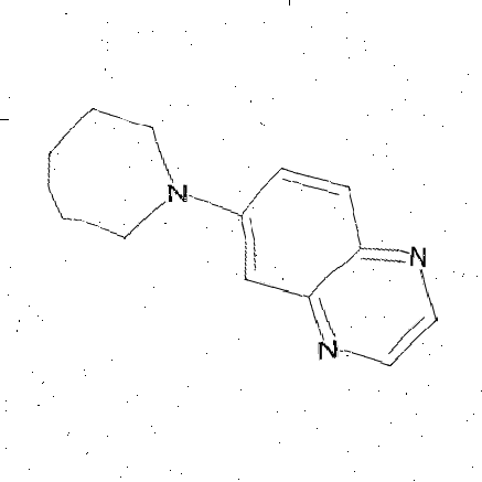 c1cnc2cc(N3CCCCC3)ccc2n1